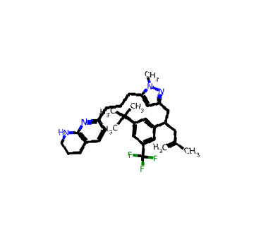 C=C(C)CC(Cc1cc(CCCc2ccc3c(n2)NCCC3)n(C)n1)c1cc(C(C)(C)C)cc(C(F)(F)F)c1